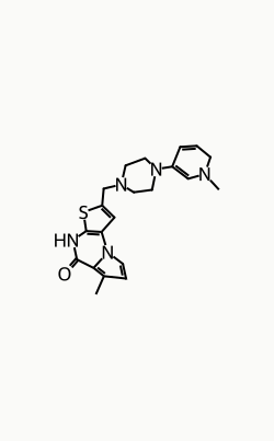 Cc1ccn2c1c(=O)[nH]c1sc(CN3CCN(C4=CN(C)CC=C4)CC3)cc12